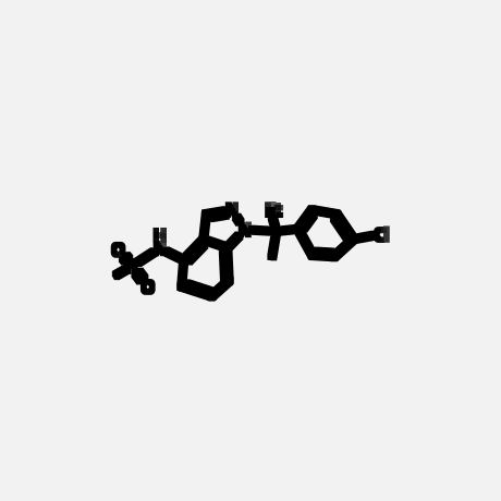 CCC(C)(c1ccc(Cl)cc1)n1ncc2c(NS(C)(=O)=O)cccc21